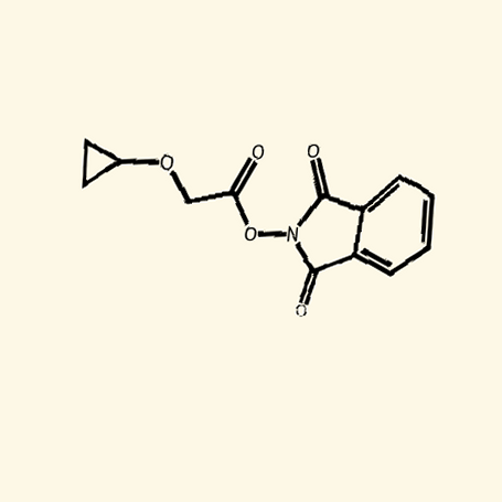 O=C(COC1CC1)ON1C(=O)c2ccccc2C1=O